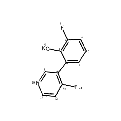 N#Cc1c(F)cccc1-c1[c]nccc1F